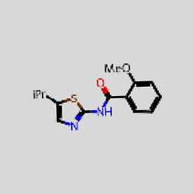 COc1ccccc1C(=O)Nc1ncc(C(C)C)s1